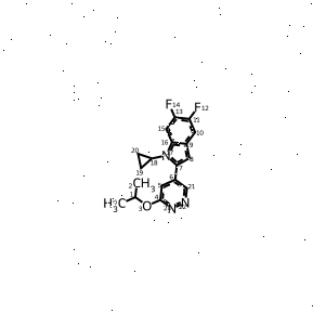 CC(C)Oc1cc(-c2cc3cc(F)c(F)cc3n2C2CC2)cnn1